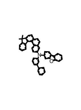 CC1(C)c2ccccc2-c2c1ccc1ccc3cc(N(c4cccc(-c5ccccc5)c4)c4ccc5c(c4)oc4ccccc45)ccc3c21